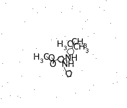 CCOC(=O)c1ccc(NC2CCC(C(C)(C)C)CC2)c(NCc2ccccc2)c1